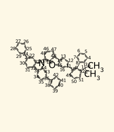 CC1(C)c2ccccc2-c2c(-c3ccc4c(c3)oc3c(-n5c6cc(-c7ccccc7)ccc6c6ccc(-c7ccccc7)cc65)cccc34)cccc21